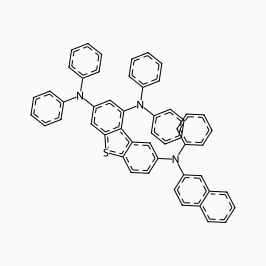 c1ccc(N(c2ccccc2)c2cc(N(c3ccccc3)c3ccccc3)c3c(c2)sc2ccc(N(c4ccccc4)c4ccc5ccccc5c4)cc23)cc1